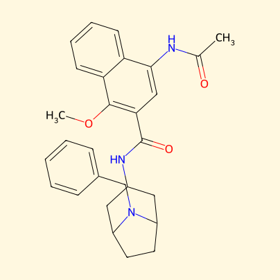 COc1c(C(=O)NC2CC3CCC(C2)N3Cc2ccccc2)cc(NC(C)=O)c2ccccc12